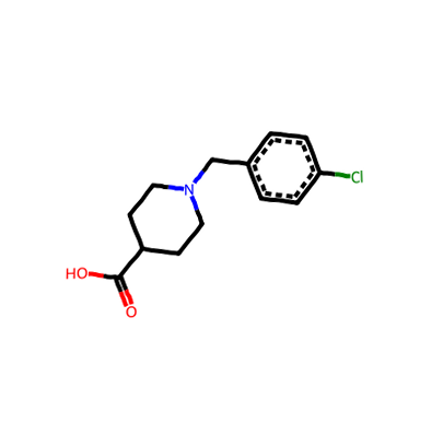 O=C(O)C1CCN(Cc2ccc(Cl)cc2)CC1